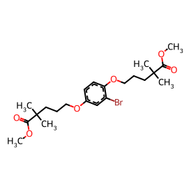 COC(=O)C(C)(C)CCCOc1ccc(OCCCC(C)(C)C(=O)OC)c(Br)c1